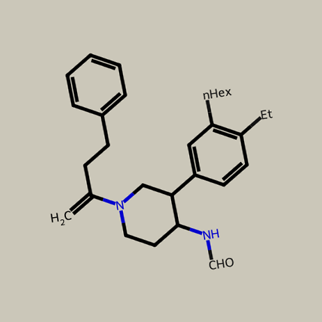 C=C(CCc1ccccc1)N1CCC(NC=O)C(c2ccc(CC)c(CCCCCC)c2)C1